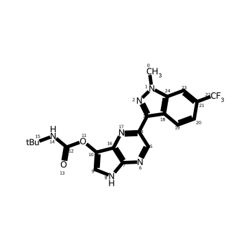 Cn1nc(-c2cnc3[nH]cc(OC(=O)NC(C)(C)C)c3n2)c2ccc(C(F)(F)F)cc21